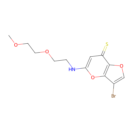 COCCOCCNc1cc(=S)c2occ(Br)c2o1